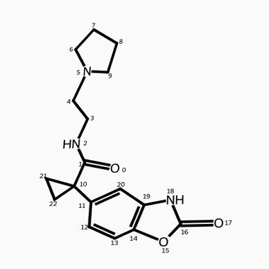 O=C(NCCN1CCCC1)C1(c2ccc3oc(=O)[nH]c3c2)CC1